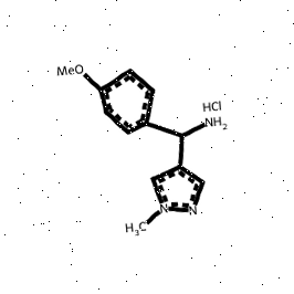 COc1ccc(C(N)c2cnn(C)c2)cc1.Cl